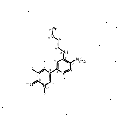 Cc1cc(-c2ccc([N+](=O)[O-])c(NCCOC(C)C)c2)cn(C)c1=O